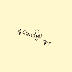 O=C(CCCCC[C@H](F)CF)Nc1ccc(NCc2ccc(C(F)(F)F)cc2)cc1C1CCCCC1